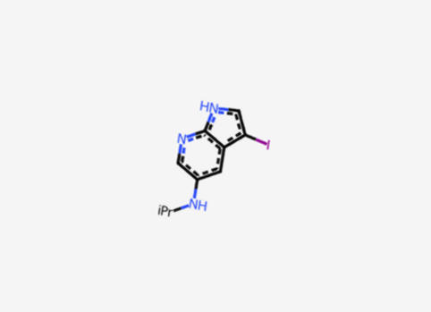 CC(C)Nc1cnc2[nH]cc(I)c2c1